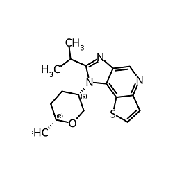 [CH][C@@H]1CC[C@H](n2c(C(C)C)nc3cnc4ccsc4c32)CO1